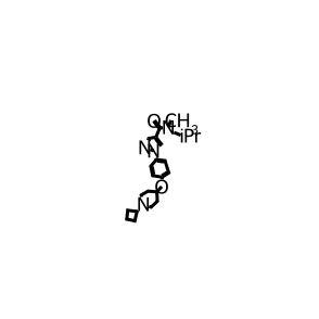 CC(C)CN(C)C(=O)c1cnn(-c2ccc(OC3CCN(C4CCC4)CC3)cc2)c1